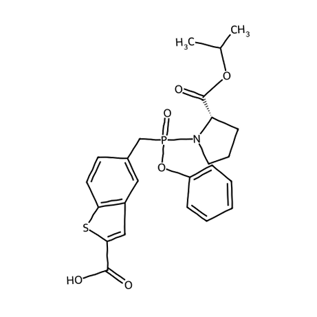 CC(C)OC(=O)[C@@H]1CCCN1P(=O)(Cc1ccc2sc(C(=O)O)cc2c1)Oc1ccccc1